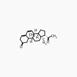 CC(=O)[C@H]1CC[C@H]2[C@@H]3C=CC4=CCC(=O)C[C@]4(C)[C@H]3CC[C@]12C